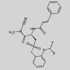 CN(C#N)C(=O)[C@H](CS(=O)(=O)Cc1ccccc1OC(F)F)NC(=O)C=Cc1ccccc1